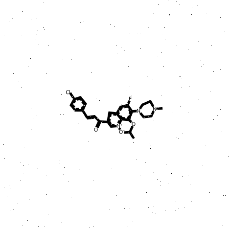 CC(C)Oc1c(N2CCN(C)CC2)c(F)cc2cc(C(=O)C=Cc3ccc(Cl)cc3)c[n+]([O-])c12